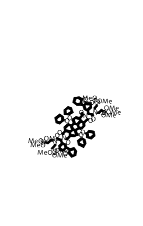 CO[Si](CCN(CC[Si](OC)(OC)OC)C(=O)C(c1ccc2oc3ccccc3c2c1)N1C(=O)c2cc(Oc3ccccc3)c3c4c(Oc5ccccc5)cc5c6c(cc(Oc7ccccc7)c(c7c(Oc8ccccc8)cc(c2c37)C1=O)c64)C(=O)N(C(C(=O)N(CC[Si](OC)(OC)OC)CC[Si](OC)(OC)OC)c1ccc2oc3ccccc3c2c1)C5=O)(OC)OC